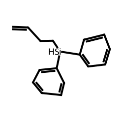 C=CCC[SiH](c1ccccc1)c1ccccc1